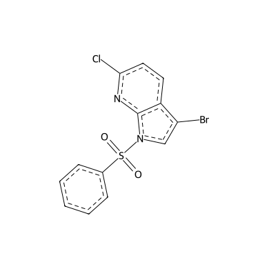 O=S(=O)(c1ccccc1)n1cc(Br)c2ccc(Cl)nc21